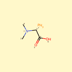 CN(C)CC(=O)O.P